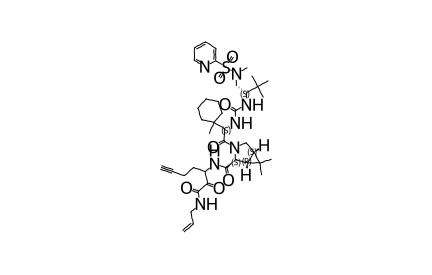 C#CCCC(NC(=O)[C@@H]1[C@@H]2[C@H](CN1C(=O)[C@@H](NC(=O)N[C@H](CN(C)S(=O)(=O)c1ccccn1)C(C)(C)C)C1(C)CCCCC1)C2(C)C)C(=O)C(=O)NCC=C